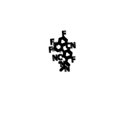 Cc1cc(F)c(-c2cnc(C)n2C)c(C#N)c1[C@H]1C[C@H](F)[C@H](F)c2cc(F)cc(C#N)c21